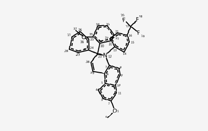 COc1ccc2c3c(ccc2c1)N(c1ccc(C(F)(F)F)cc1)C(c1ccccc1)(c1ccccc1OC)C=C3